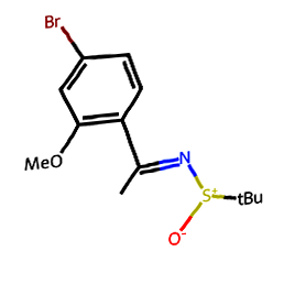 COc1cc(Br)ccc1/C(C)=N/[S+]([O-])C(C)(C)C